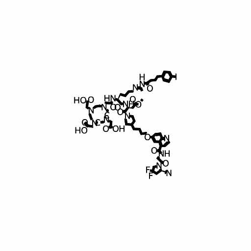 COC(=O)C[C@H](NC(=O)[C@H](CCCC/N=C(\C)NC(=O)CCCc1ccc(I)cc1)NC(=O)CN1CCN(CC(=O)O)CCN(CC(=O)O)CCN(CC(=O)O)CC1)C(=O)N1CCC(CCCCOc2ccc3nccc(C(=O)NCC(=O)N4CC(F)(F)C[C@@H]4C#N)c3c2)CC1